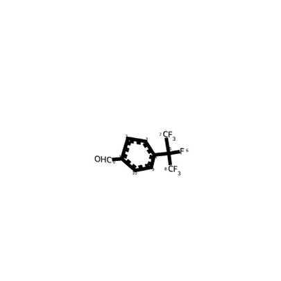 O=Cc1ccc(C(F)(C(F)(F)F)C(F)(F)F)cc1